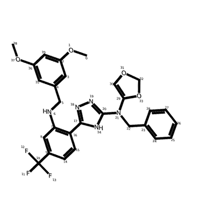 COc1cc(CNc2cc(C(F)(F)F)ccc2-c2nnc(N(Cc3ccccc3)C3=COCO3)[nH]2)cc(OC)c1